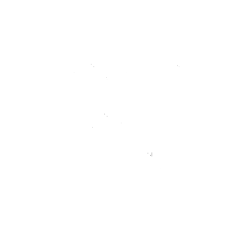 CC(=O)Nc1cccc2c1C(=O)N(C1(CCCCN)CCC(=O)NC1=O)C2=O.Cl